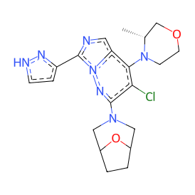 C[C@@H]1COCCN1c1c(Cl)c(N2CC3CCC(C2)O3)nn2c(-c3cc[nH]n3)ncc12